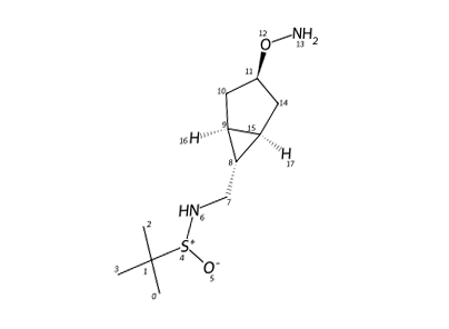 CC(C)(C)[S+]([O-])NC[C@@H]1[C@H]2C[C@@H](ON)C[C@@H]12